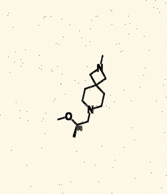 CO[C@H](C)CN1CCC2(CC1)CN(C)C2